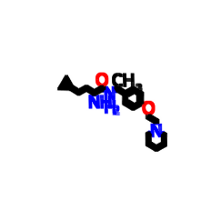 CC(NC(=O)[C@@H](N)CCC1CC1)c1ccc(OCCN2CCCCC2)cc1